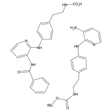 CC(C)(C)OC(=O)NCCc1ccc(Nc2ncccc2N)cc1.O=C(O)NCCc1ccc(Nc2ncccc2NC(=O)c2ccccc2)cc1